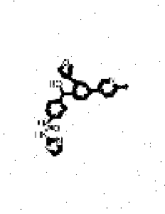 O=S(=O)(Nc1nccs1)c1ccc(C(O)c2ccc(-c3ccc(F)nc3)cc2-c2ccoc2)cc1